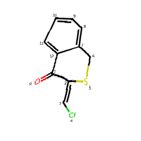 O=C1/C(=C/Cl)SCc2ccccc21